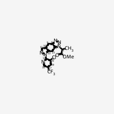 COC(=O)C(C)n1nnc2cc3cnn(-c4ncc(C(F)(F)F)cc4Cl)c3cc21